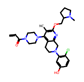 C=CC(=O)N1CCN(c2c(C#N)c(OCC3CCCN3C)nc3c2CCN(c2cc(O)ccc2Cl)C3)CC1